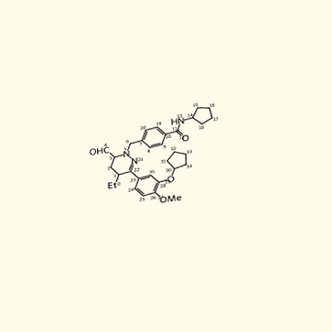 CCC1CC(C=O)N(Cc2ccc(C(=O)NC3CCCC3)cc2)N=C1c1ccc(OC)c(OC2CCCC2)c1